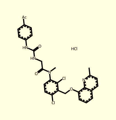 CC(=O)c1ccc(NC(=O)NCC(=O)N(C)c2ccc(Cl)c(COc3cccc4ccc(C)nc34)c2Cl)cc1.Cl